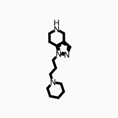 c1nn(CCCN2CCCCC2)c2c1CNCC2